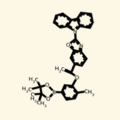 C=C(Oc1cc(B2OC(C)(C)C(C)(C)O2)ccc1C)c1ccc2nc(-n3c4ccccc4c4ccccc43)oc2c1